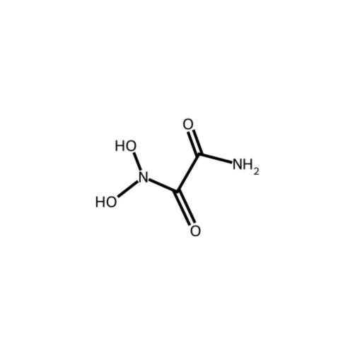 NC(=O)C(=O)N(O)O